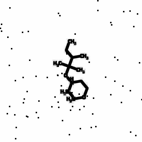 CCC(C)C(C)(C)O[SiH]1CCO[SiH2][SiH2]1